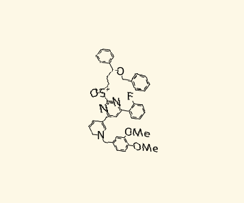 COc1ccc(CN2C=C(c3cc(-c4ccccc4F)nc([S+]([O-])CCC(OCc4ccccc4)c4ccccc4)n3)C=CC2)cc1OC